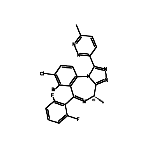 Cc1ccc(-c2nnc3n2-c2ccc(Cl)c(Br)c2C(c2c(F)cccc2F)=N[C@H]3C)nn1